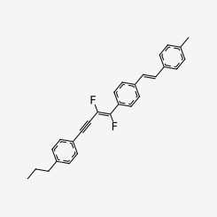 CCCc1ccc(C#C/C(F)=C(\F)c2ccc(C=Cc3ccc(C)cc3)cc2)cc1